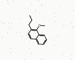 CCCc1ccc2ccccc2c1OC